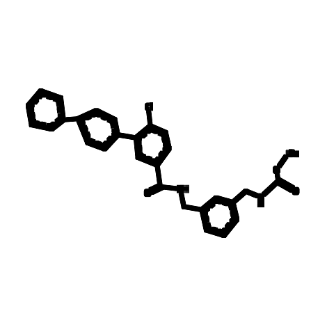 CC(C)(C)OC(=O)NCc1cccc(CNC(=O)c2ccc(Cl)c(-c3ccc(-c4ccccc4)cc3)c2)c1